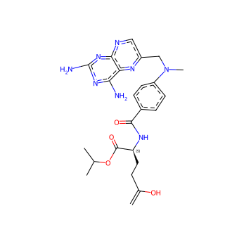 C=C(O)CC[C@H](NC(=O)c1ccc(N(C)Cc2cnc3nc(N)nc(N)c3n2)cc1)C(=O)OC(C)C